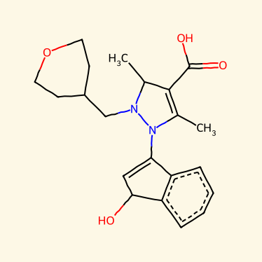 CC1=C(C(=O)O)C(C)N(CC2CCOCC2)N1C1=CC(O)c2ccccc21